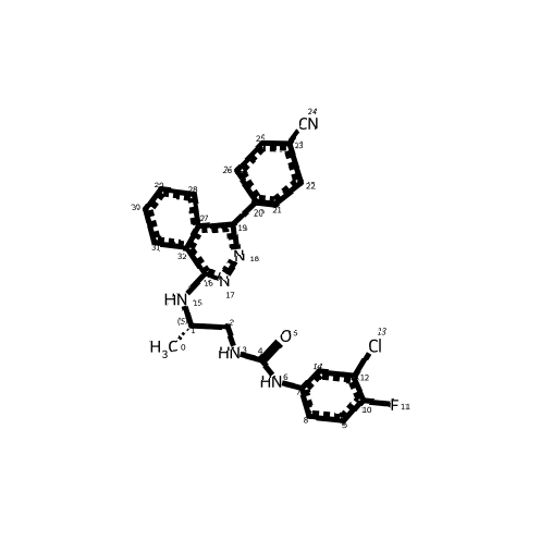 C[C@@H](CNC(=O)Nc1ccc(F)c(Cl)c1)Nc1nnc(-c2ccc(C#N)cc2)c2ccccc12